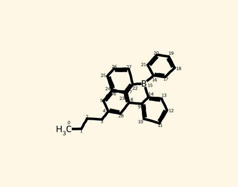 CCCCc1cccc(-c2ccccc2B(c2ccccc2)c2ccccc2)c1